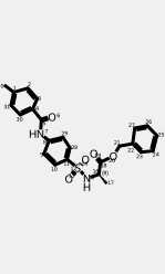 Cc1ccc(C(=O)Nc2ccc(S(=O)(=O)N[C@H](C)C(=O)OCc3ccccc3)cc2)cc1